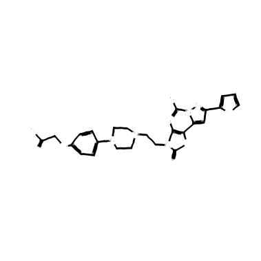 NC(=O)COc1ccc(N2CCN(CCn3c(=O)sc4c3nc(N)n3nc(-c5ccco5)cc43)CC2)cc1